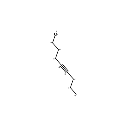 CCCC#CCCC[O]